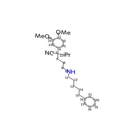 COc1ccc(C(C#N)(CCCNCCCCCc2ccccc2)C(C)C)cc1OC